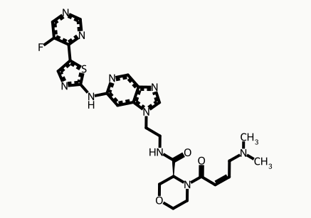 CN(C)C/C=C\C(=O)N1CCOC[C@H]1C(=O)NCCn1cnc2cnc(Nc3ncc(-c4ncncc4F)s3)cc21